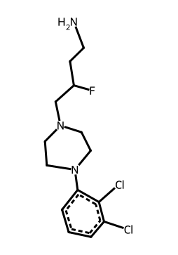 NCCC(F)CN1CCN(c2cccc(Cl)c2Cl)CC1